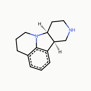 c1cc2c3c(c1)[C@@H]1CNCC[C@@H]1N3CCC2